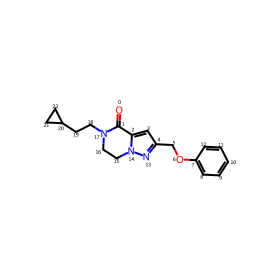 O=C1c2cc(COc3ccccc3)nn2CCN1CCC1CC1